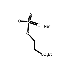 CCOC(=O)CCOS(=O)([O-])=S.[Na+]